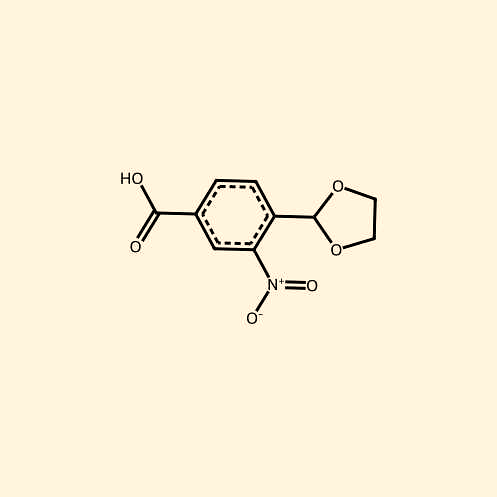 O=C(O)c1ccc(C2OCCO2)c([N+](=O)[O-])c1